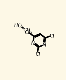 CO.Clc1cc(Cl)nc(Cl)n1